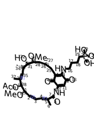 CO[C@H]1/C=C\C=C(/C)C(=O)NC2=CC(=O)C(NCCCCP(=O)(O)O)=C(C[C@@H](C)C[C@H](OC)[C@H](O)[C@@H](C)/C=C(\C)[C@@H]1OC(C)=O)C2=O